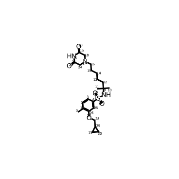 Cc1ccc(S(=O)(=O)NC(C)(C)CCCCCN2CC(=O)NC(=O)C2)cc1OCC1CC1